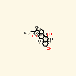 CC[C@H]1[C@@H](O)[C@H]2C3CC[C@H]([C@H](C)CCC(=O)O)[C@@]3(C)[C@@H](O)CC2[C@@]2(C)CC[C@@H](O)C[C@@H]12